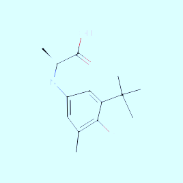 Cc1cc(N[C@@H](C)C(=O)O)cc(C(C)(C)C)c1O